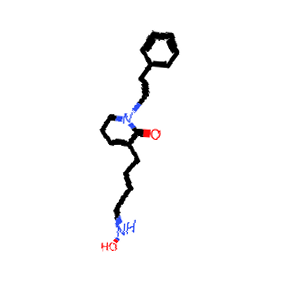 O=C1C(CCCCNO)=CCCN1CCc1ccccc1